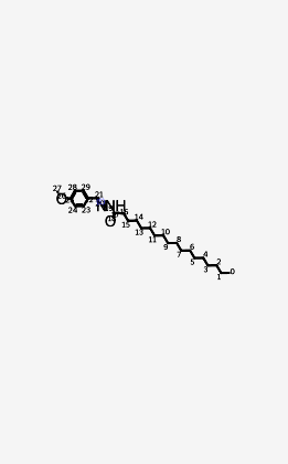 CCCCCCCCCCCCCCCCCC(=O)N/N=C/c1ccc(OC)cc1